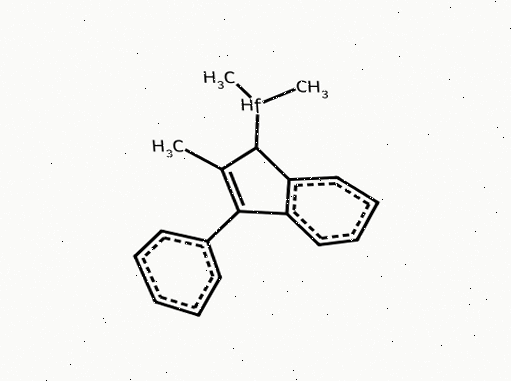 CC1=C(c2ccccc2)c2ccccc2[CH]1[Hf]([CH3])[CH3]